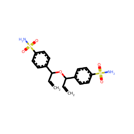 C=CC(OC(C=C)c1ccc(S(N)(=O)=O)cc1)c1ccc(S(N)(=O)=O)cc1